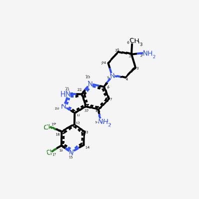 CC1(N)CCN(c2cc(N)c3c(-c4ccnc(Cl)c4Cl)n[nH]c3n2)CC1